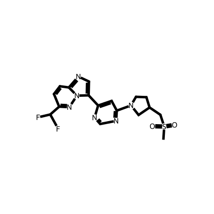 CS(=O)(=O)CC1CCN(c2cc(-c3cnc4ccc(C(F)F)nn34)ncn2)C1